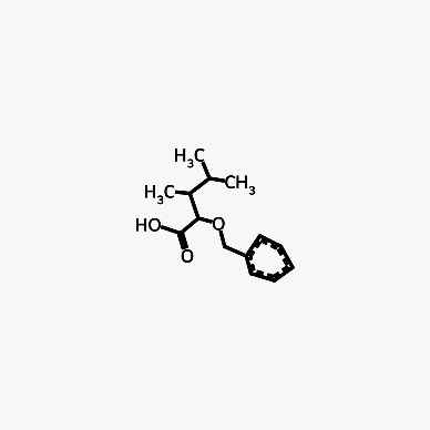 CC(C)C(C)C(OCc1ccccc1)C(=O)O